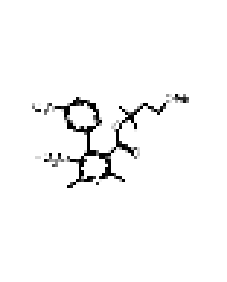 COCCC(C)(C)OC(=O)c1c(C)nc(C)c(C(=O)O)c1-c1cccc([N+](=O)[O-])c1